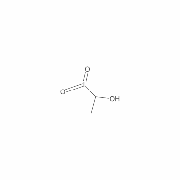 CC(O)I(=O)=O